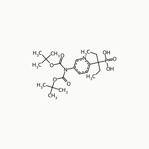 CCC(CC)(c1ccc(N(C(=O)OC(C)(C)C)C(=O)OC(C)(C)C)cn1)P(=O)(O)O